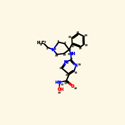 CCN1CCC(Nc2ncc(C(=O)NO)cn2)(c2ccccc2)CC1